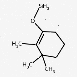 CC1=C(O[SiH3])CCCC1(C)C